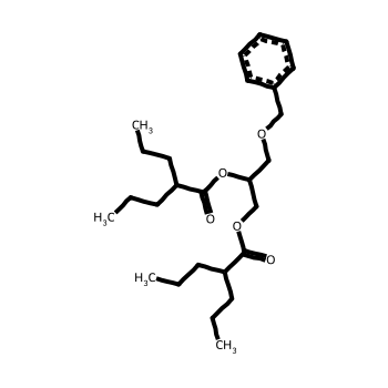 CCCC(CCC)C(=O)OCC(COCc1ccccc1)OC(=O)C(CCC)CCC